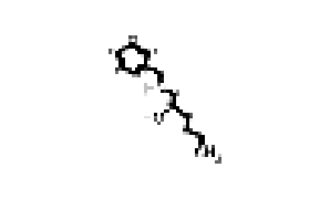 C=CCC[C@@H](O)CNCc1ccccc1